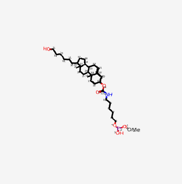 COOP(O)OCCCCCCNC(=O)OC1CCC2(C)C(=CCC3C2CCC2(C)C(CCCCCCO)CCC32)C1